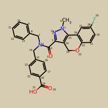 Cn1nc(C(=O)N(Cc2ccccc2)Cc2ccc(C(=O)O)cc2)c2c1-c1cc(F)ccc1OC2